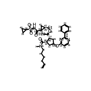 C=CCCCCN(C)C(=O)[C@@H]1C[C@H](Oc2ccnc(-c3ccccc3)n2)C[C@H]1C(=O)N[C@]1(C(=O)NS(=O)(=O)C2CC2)C[C@H]1CC